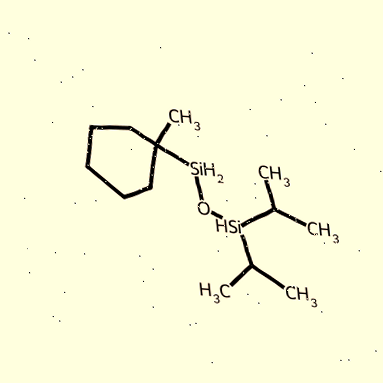 CC(C)[SiH](O[SiH2]C1(C)CCCCC1)C(C)C